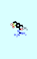 CCc1cc2c(cc1C(=O)N=C(N)N)S(=O)(=O)C=C2